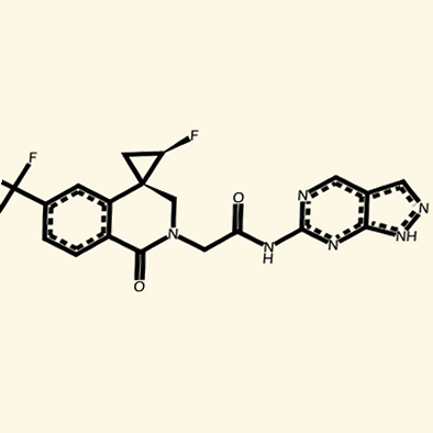 O=C(CN1C[C@]2(C[C@H]2F)c2cc(C(F)(F)F)ccc2C1=O)Nc1ncc2cn[nH]c2n1